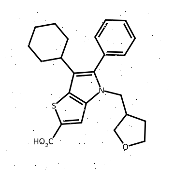 O=C(O)c1cc2c(s1)c(C1CCCCC1)c(-c1ccccc1)n2CC1CCOC1